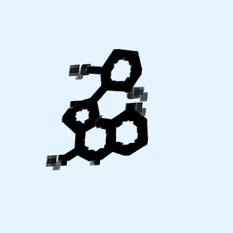 Cc1cccc(C)c1-c1ncc2c(N)nc3cccc(N)c3n12